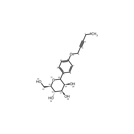 CCC#CCOc1ccc(C2O[C@H](CO)[C@@H](O)[C@H](O)[C@@H]2O)cc1